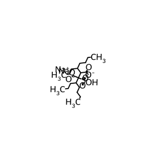 CCCCC(CCC)C(C(=O)[O-])C(C(=O)[O-])(C(CCC)CCCC)S(=O)(=O)O.[Na+].[Na+]